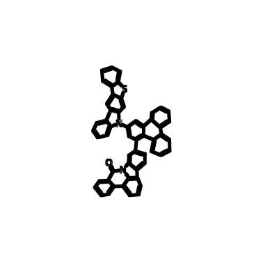 O=c1c2ccccc2c2cccc3c4ccc(-c5cc(-n6c7ccccc7c7cc8c(cc76)sc6ccccc68)cc6c7ccccc7c7ccccc7c56)cc4n1c23